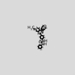 CCN1CCc2c(nc(-c3ccc(NC(=O)Nc4ccccc4)cc3)nc2N2C3CCC2COC3)C1